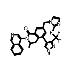 Cc1nccn1Cc1cc2c(c(-c3cn(C)nc3C(F)(F)F)c1)CC(C)N(c1cncc3ccccc13)C2=O